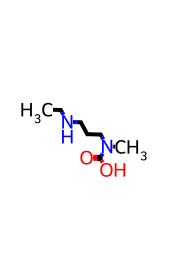 CCNCCCN(C)C(=O)O